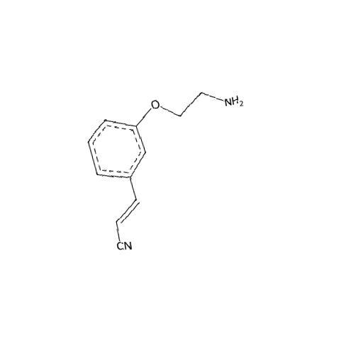 N#CC=Cc1cccc(OCCN)c1